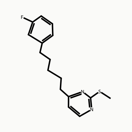 CSc1nccc(CCCCCc2cccc(F)c2)n1